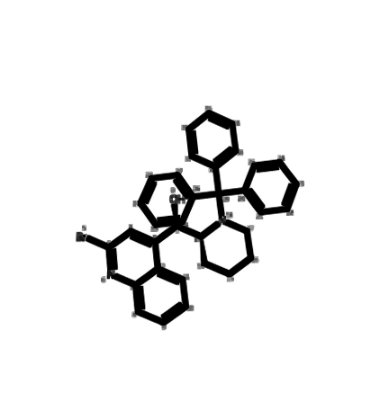 O[C@H](c1cc(Br)nc2ccccc12)[C@@H]1CCCCN1C(c1ccccc1)(c1ccccc1)c1ccccc1